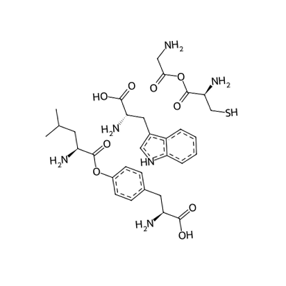 CC(C)C[C@H](N)C(=O)Oc1ccc(C[C@H](N)C(=O)O)cc1.NCC(=O)OC(=O)[C@@H](N)CS.N[C@@H](Cc1c[nH]c2ccccc12)C(=O)O